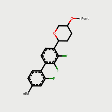 CCCCCOC1CCC(c2ccc(-c3ccc(CCCC)cc3F)c(F)c2F)OC1